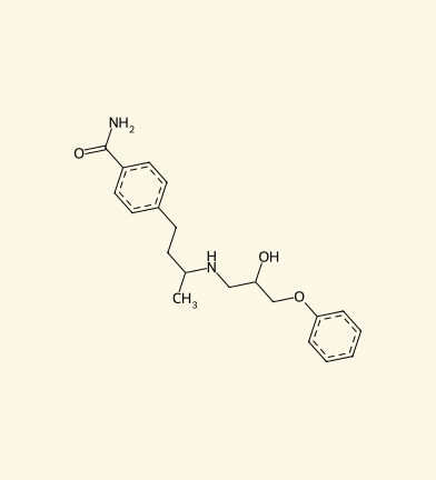 CC(CCc1ccc(C(N)=O)cc1)NCC(O)COc1ccccc1